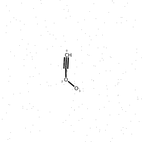 C#CO[O]